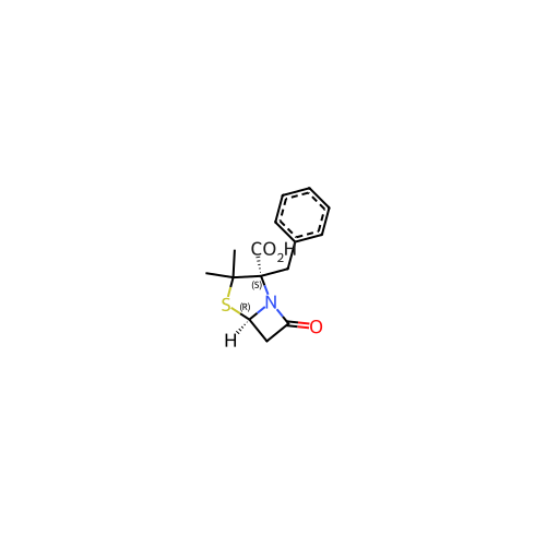 CC1(C)S[C@@H]2CC(=O)N2[C@@]1(Cc1ccccc1)C(=O)O